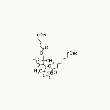 CCCCCCCCCCCCCCCC(=O)OC(C(=O)C(C)(C)COC(=O)CCCCCCCCCCCCC)C(C)(C)C=O